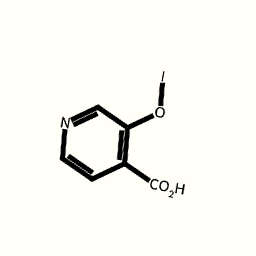 O=C(O)c1ccncc1OI